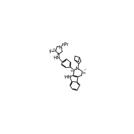 CCCN1C[C@H](F)[C@H](Nc2ccc([C@@H]3c4[nH]c5ccccc5c4C[C@@H](C)N3C3CC4CC3C4)cc2)C1